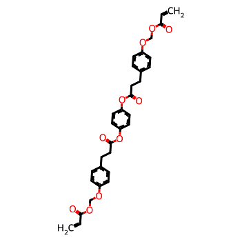 C=CC(=O)OCOc1ccc(CCC(=O)Oc2ccc(OC(=O)CCc3ccc(OCOC(=O)C=C)cc3)cc2)cc1